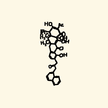 CC(=O)C1=C(O)C(C(C)C)[C@@]2(C)C[C@@]3(C)Cc4ccc(CC(=O)Cc5cccc6ccccc56)c(O)c4C(=O)C3=C(O)[C@@]2(O)C1=O